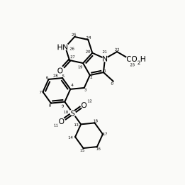 Cc1c(Cc2ccccc2S(=O)(=O)C2CCCCC2)c2c(n1CC(=O)O)CCNC2=O